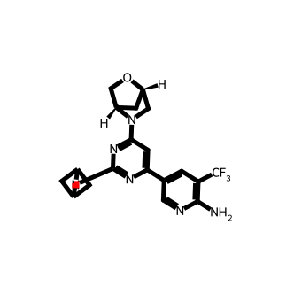 Nc1ncc(-c2cc(N3C[C@@H]4C[C@H]3CO4)nc(N3CC4CC3C4)n2)cc1C(F)(F)F